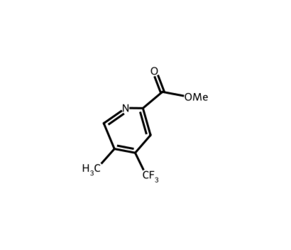 COC(=O)c1cc(C(F)(F)F)c(C)cn1